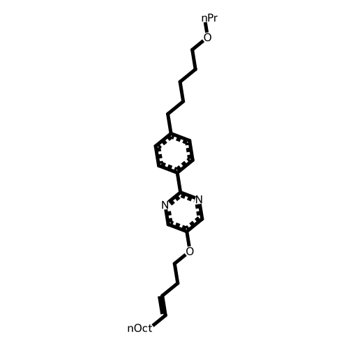 CCCCCCCCC=CCCOc1cnc(-c2ccc(CCCCCOCCC)cc2)nc1